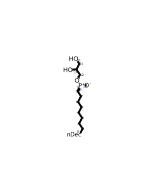 CCCCCCCCCCCCCCCCC/C=[P+](\[O-])OCC(O)CO